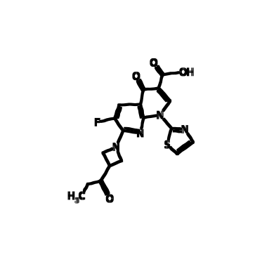 CCC(=O)C1CN(c2nc3c(cc2F)c(=O)c(C(=O)O)cn3-c2nccs2)C1